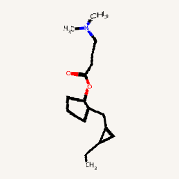 CCC1CC1CC1CCCC1OC(=O)CCCN(C)C